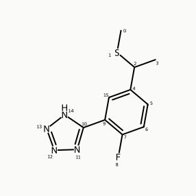 CSC(C)c1ccc(F)c(-c2nnn[nH]2)c1